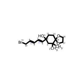 CC1(C)CC(O)(/C=C/C=C/CBr)CCC12OCCO2